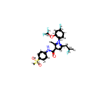 Cc1c(C(=O)Nc2ccc(S(C)(=O)=O)cc2)cc(CC(C)F)n1-c1ccc(F)cc1OC(F)F